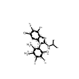 CC(C)Nc1nc2c(F)c(F)c(Cl)cc2n1-c1c(N)c(N)c(F)c(F)c1Cl